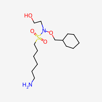 NCCCCCCS(=O)(=O)N(CCO)OCC1CCCCC1